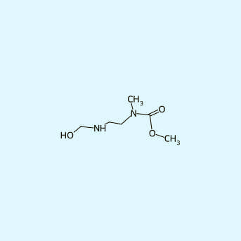 COC(=O)N(C)CCNCO